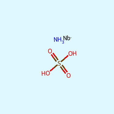 N.O=S(=O)(O)O.[Nb]